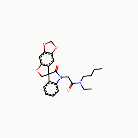 CCCCN(CC)C(=O)CN1C(=O)C2(COc3cc4c(cc32)OCO4)c2ccccc21